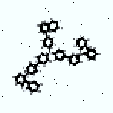 c1cc(-c2ccc(N(c3ccc(-c4ccc(-c5cccc6oc7ccccc7c56)cc4)cc3)c3ccc(-c4cccc5ccccc45)cc3)cc2)cc(-n2c3ccccc3c3ccccc32)c1